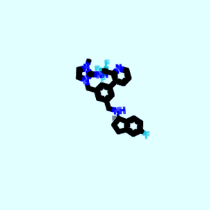 Cn1ccn(Cc2cc(CN[C@H]3CCc4cc(F)ccc43)cc(-c3cccnc3C(F)(F)F)c2)c1=N